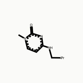 CC(C)CNc1ccn(C)c(=O)n1